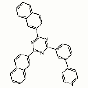 c1cc(-c2ccncc2)cc(-c2nc(-c3ccc4ccccc4c3)nc(-c3ccc4ccccc4c3)n2)c1